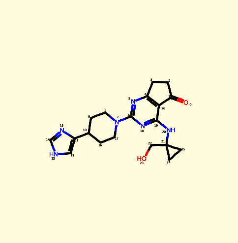 O=C1CCc2nc(N3CCC(c4c[nH]cn4)CC3)nc(NC3(CO)CC3)c21